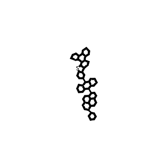 c1ccc(-c2ccc3ccc4c(-c5c6ccccc6c(-c6ccc7sc8c(ccc9c%10ccccc%10c%10ccccc%10c98)c7c6)c6ccccc56)ccc5ccc2c3c54)cc1